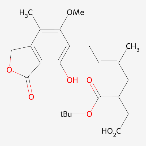 COc1c(C)c2c(c(O)c1C/C=C(\C)CC(CC(=O)O)C(=O)OC(C)(C)C)C(=O)OC2